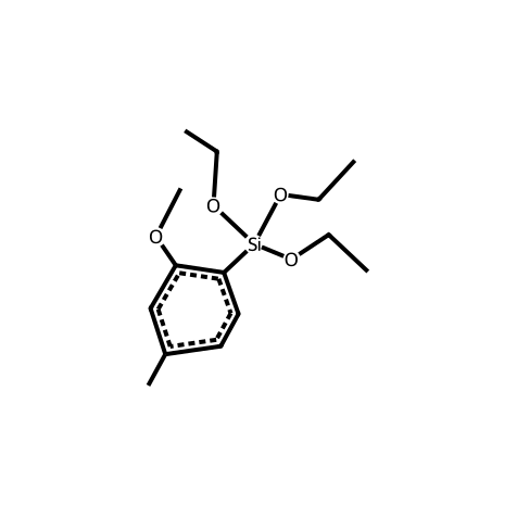 CCO[Si](OCC)(OCC)c1ccc(C)cc1OC